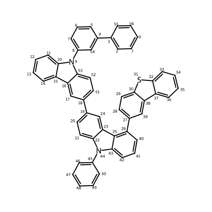 c1ccc(-c2cccc(-n3c4ccccc4c4cc(-c5ccc6c(c5)c5c(-c7ccc8sc9ccccc9c8c7)cccc5n6-c5ccccc5)ccc43)c2)cc1